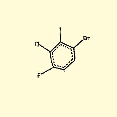 Cc1c(Br)c[c]c(F)c1Cl